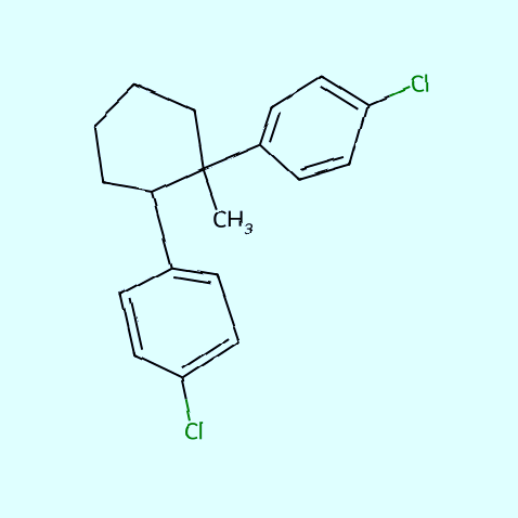 CC1(c2ccc(Cl)cc2)CCCCC1c1ccc(Cl)cc1